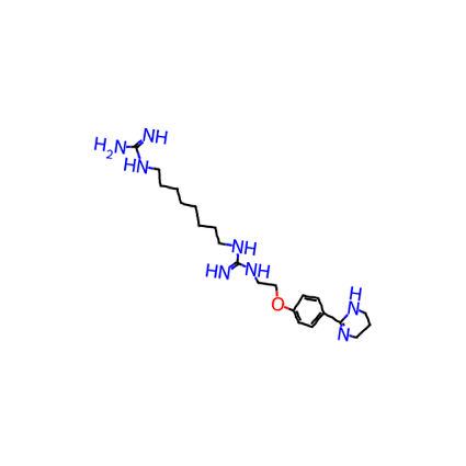 N=C(N)NCCCCCCCCNC(=N)NCCOc1ccc(C2=NCCCN2)cc1